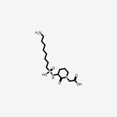 NCCCCCCCCP(=O)(O)NC1CCCN(CC(=O)O)C1=O